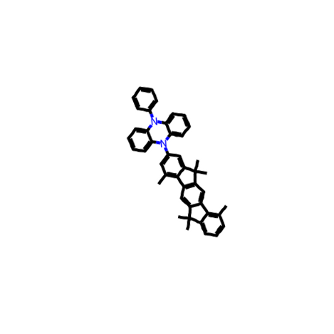 Cc1cccc2c1-c1cc3c(cc1C2(C)C)-c1c(C)cc(N2c4ccccc4N(c4ccccc4)c4ccccc42)cc1C3(C)C